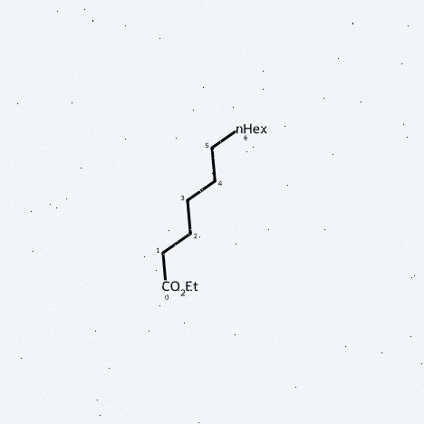 [CH2]COC(=O)CCCCCCCCCCC